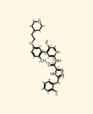 Cc1ccc(OCCC2CCOCC2)cc1-c1cc(NC(=O)c2nnc(Cc3ccccc3F)[nH]2)ncc1F